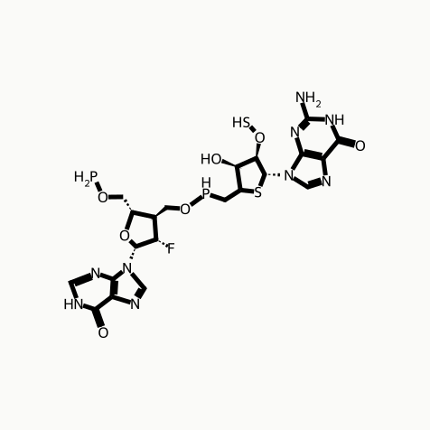 Nc1nc2c(ncn2[C@@H]2SC(CPOC[C@H]3[C@H](F)[C@H](n4cnc5c(=O)[nH]cnc54)O[C@@H]3COP)[C@@H](O)[C@H]2OS)c(=O)[nH]1